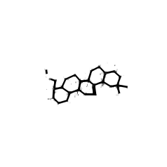 CNC[C@@]1(C)C2CC[C@]3(C)[C@H](CC=C4[C@H]5CC(C)(C)C[C@@H](O)[C@]5(C)CC[C@]43C)[C@@]2(C)CC[C@@H]1O